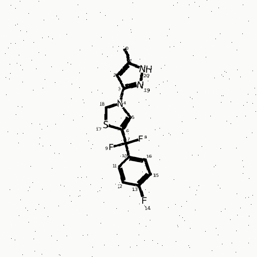 Cc1cc(N2C=C(C(F)(F)c3ccc(F)cc3)SC2)n[nH]1